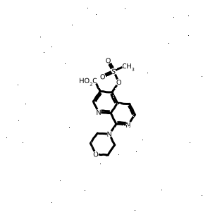 CS(=O)(=O)Oc1c(C(=O)O)cnc2c(N3CCOCC3)nccc12